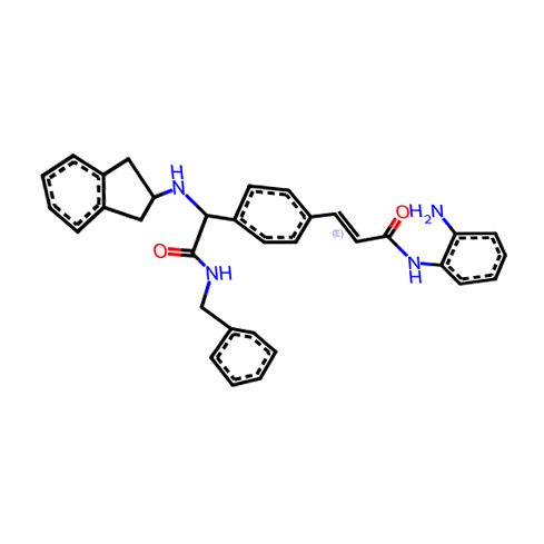 Nc1ccccc1NC(=O)/C=C/c1ccc(C(NC2Cc3ccccc3C2)C(=O)NCc2ccccc2)cc1